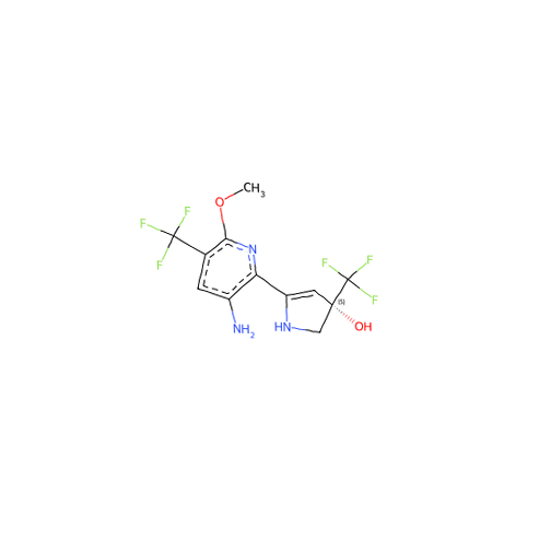 COc1nc(C2=C[C@@](O)(C(F)(F)F)CN2)c(N)cc1C(F)(F)F